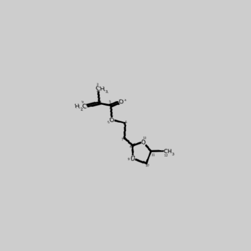 C=C(C)C(=O)OCCC1OCC(C)O1